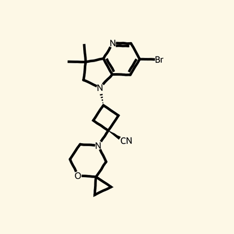 CC1(C)CN([C@H]2C[C@@](C#N)(N3CCOC4(CC4)C3)C2)c2cc(Br)cnc21